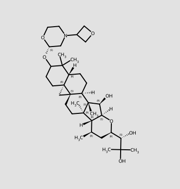 C[C@@H]1C[C@H]([C@H](O)C(C)(C)O)O[C@H]2[C@H]1[C@@]1(C)CC[C@@]34C[C@@]35CCC(O[C@H]3CN(C6COC6)CCO3)C(C)(C)[C@@H]5CC[C@H]4[C@]1(C)[C@H]2O